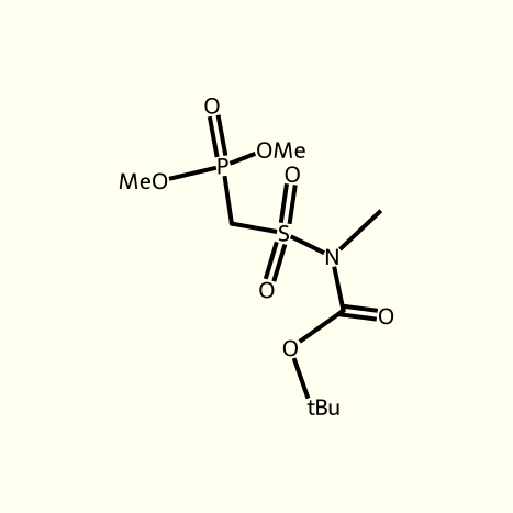 COP(=O)(CS(=O)(=O)N(C)C(=O)OC(C)(C)C)OC